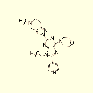 CCn1c(-c2ccncc2)nc2c(N3CCOCC3)nc(-n3cc4c(n3)CCN(C)C4)nc21